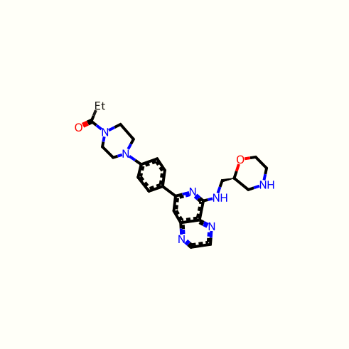 CCC(=O)N1CCN(c2ccc(-c3cc4nccnc4c(NC[C@@H]4CNCCO4)n3)cc2)CC1